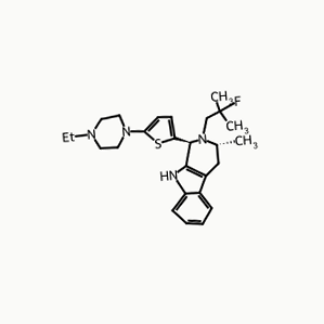 CCN1CCN(c2ccc([C@@H]3c4[nH]c5ccccc5c4C[C@@H](C)N3CC(C)(C)F)s2)CC1